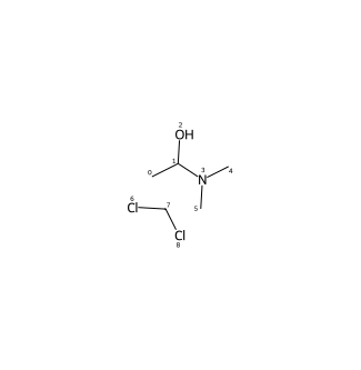 CC(O)N(C)C.ClCCl